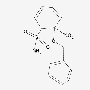 NS(=O)(=O)C1C=CC=CC1(OCc1ccccc1)[N+](=O)[O-]